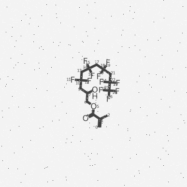 C=C(C)C(=O)OCC(O)CC(F)(F)CC(F)(F)CC(F)(F)CC(F)(F)C(F)(F)F